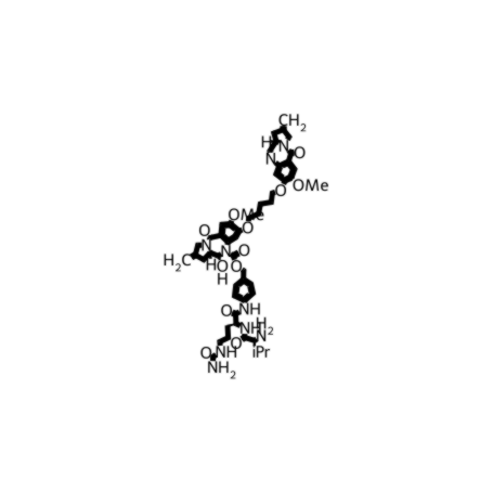 C=C1C[C@H]2C=Nc3cc(OCCCCCOc4cc5c(cc4OC)C(=O)N4CC(=C)C[C@H]4[C@H](O)N5C(=O)OCc4ccc(NC(=O)[C@H](CCCNC(N)=O)NC(=O)[C@@H](N)C(C)C)cc4)c(OC)cc3C(=O)N2C1